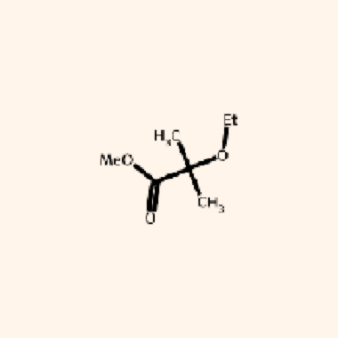 CCOC(C)(C)C(=O)OC